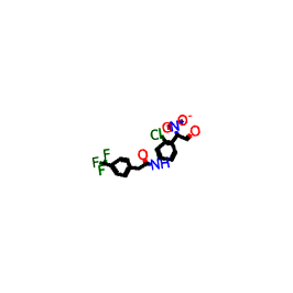 O=CC(c1ccc(NC(=O)Cc2ccc(C(F)(F)F)cc2)cc1Cl)[N+](=O)[O-]